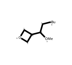 CCC(C)CC(OC)C1COC1